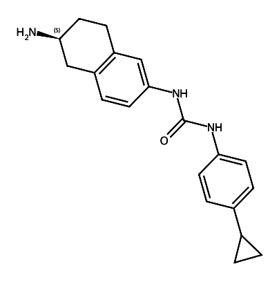 N[C@H]1CCc2cc(NC(=O)Nc3ccc(C4CC4)cc3)ccc2C1